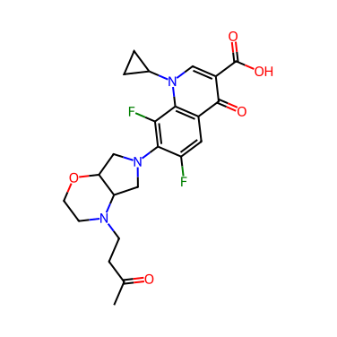 CC(=O)CCN1CCOC2CN(c3c(F)cc4c(=O)c(C(=O)O)cn(C5CC5)c4c3F)CC21